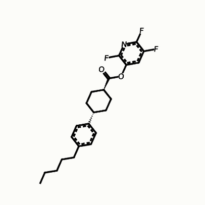 CCCCCc1ccc([C@H]2CC[C@H](C(=O)Oc3cc(F)c(F)nc3F)CC2)cc1